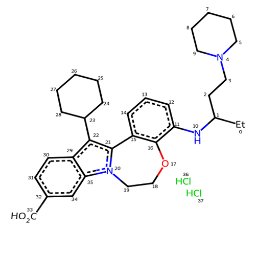 CCC(CCN1CCCCC1)Nc1cccc2c1OCCn1c-2c(C2CCCCC2)c2ccc(C(=O)O)cc21.Cl.Cl